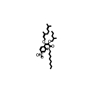 CCCCCCCCn1c(=O)c(OCC(C)CCC)c(OCC=C(C)CCC=C(C)C)c2ccc([N+](=O)[O-])cc21